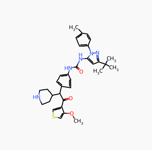 COc1cscc1C(=O)C(c1ccc(NC(=O)Nc2cc(C(C)(C)C)nn2-c2ccc(C)cc2)cc1)C1CCNCC1